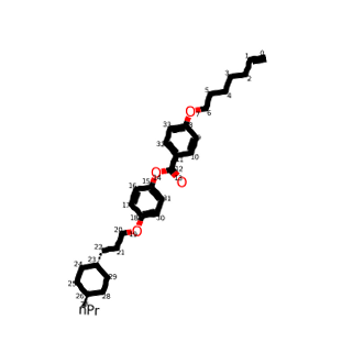 C=CCCCCCOc1ccc(C(=O)Oc2ccc(OCCC[C@H]3CC[C@H](CCC)CC3)cc2)cc1